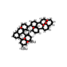 CC(C)(C)c1cc(-c2cccc3cccc(-c4ccccc4N(c4ccc(-c5ccc6ccccc6c5)cc4)c4ccccc4-c4ccc(-c5ccccc5)cc4)c23)cc(C(C)(C)C)c1